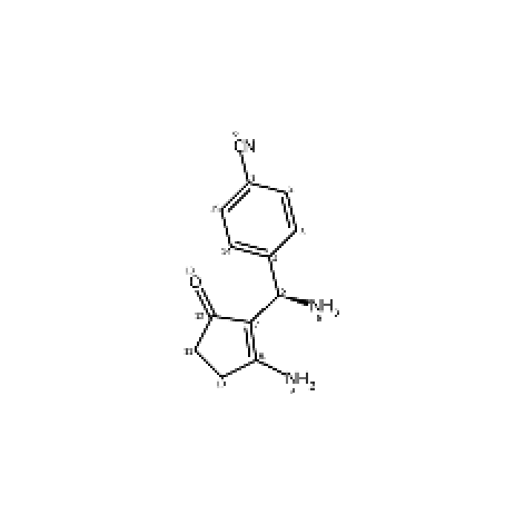 N#Cc1ccc([C@@H](N)C2=C(N)CCC2=O)cc1